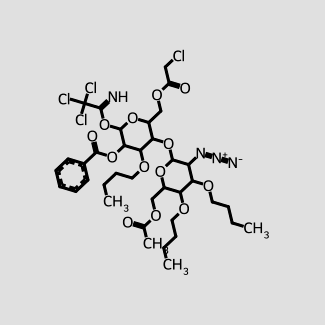 CCCCOC1C(COC(C)=O)OC(OC2C(COC(=O)CCl)OC(OC(=N)C(Cl)(Cl)Cl)C(OC(=O)c3ccccc3)C2OCCCC)C(N=[N+]=[N-])C1OCCCC